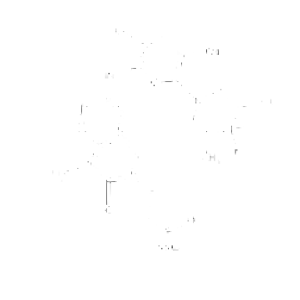 CNC(=O)COc1cc2cc(Nc3nc(N4CC(C)C(F)(F)C(N)C4)c(C#N)cc3Cl)ccc2n(C)c1=O